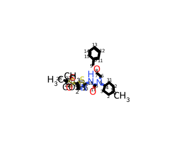 CC1CCC(N(CCOCc2ccccc2)C(=O)Nc2ncc(S(=O)(=O)C(C)(C)C(=O)O)s2)CC1